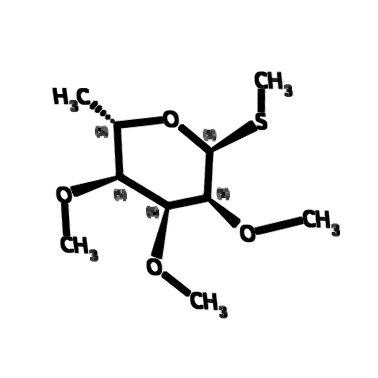 CO[C@H]1[C@@H](OC)[C@H](C)O[C@@H](SC)[C@H]1OC